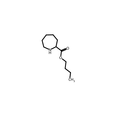 CCCCOC(=O)C1CCCCCN1